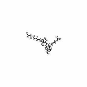 C=CC(=O)OC(CCC(CC)C(=O)OCCCCCCCCCC)C(=O)OCCCCCC(C)C